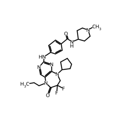 CCCN1C(=O)C(F)(F)CN(C2CCCC2)c2nc(Nc3ccc(C(=O)NC4CCN(C)CC4)cc3)ncc21